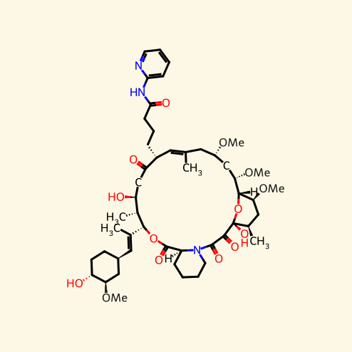 CO[C@H]1C/C(C)=C/[C@@H](CCCC(=O)Nc2ccccn2)C(=O)C[C@H](O)[C@@H](C)[C@@H](/C(C)=C/[C@@H]2CC[C@@H](O)[C@H](OC)C2)OC(=O)[C@@H]2CCCCN2C(=O)C(=O)[C@]2(O)O[C@H]([C@@H](OC)C1)[C@@H](OC)C[C@H]2C